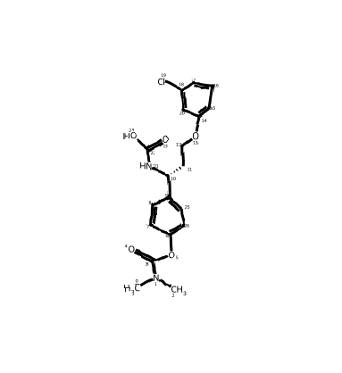 CN(C)C(=O)Oc1ccc([C@@H](CCOc2cccc(Cl)c2)NC(=O)O)cc1